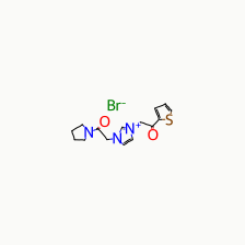 O=C(C[n+]1ccn(CC(=O)N2CCCC2)c1)c1cccs1.[Br-]